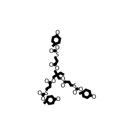 CCC(COC(=O)CCSC(=O)OC1(C)CCC(=O)CC1)(COC(=O)CCSC(=O)OC1(C)CCC(=O)CC1)COC(=O)CCSC(=O)OC1(C)CCC(=O)CC1